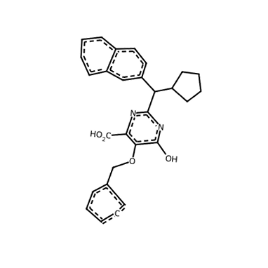 O=C(O)c1nc(C(c2ccc3ccccc3c2)C2CCCC2)nc(O)c1OCc1ccccc1